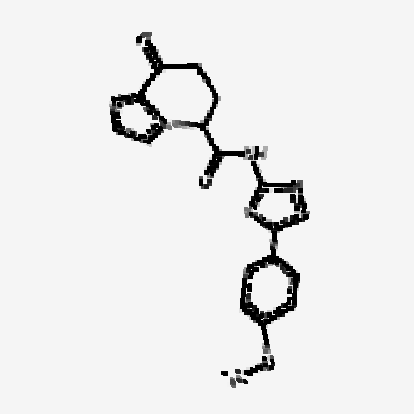 O=C1CCC(C(=O)Nc2ncc(-c3ccc(OC(F)(F)F)cc3)s2)n2cccc21